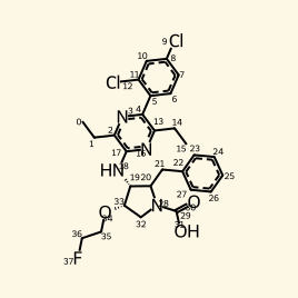 CCc1nc(-c2ccc(Cl)cc2Cl)c(CC)nc1N[C@@H]1C(Cc2ccccc2)N(C(=O)O)C[C@@H]1OCCF